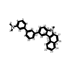 CN(C)c1cccc(-c2cccc(-c3ccc4c(c3)c3c5ccccc5ccc3n4C)c2)c1